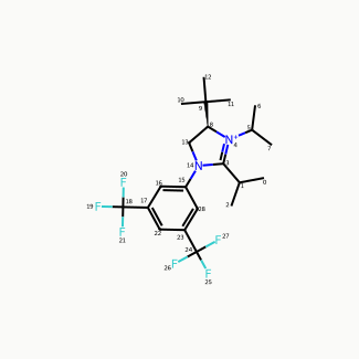 CC(C)C1=[N+](C(C)C)[C@H](C(C)(C)C)CN1c1cc(C(F)(F)F)cc(C(F)(F)F)c1